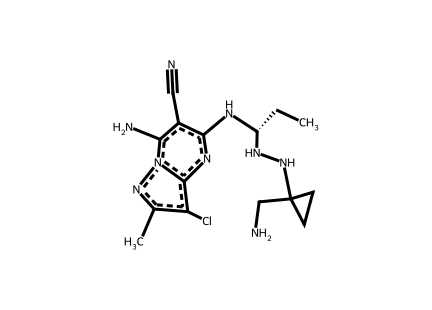 CC[C@H](NNC1(CN)CC1)Nc1nc2c(Cl)c(C)nn2c(N)c1C#N